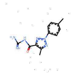 Cc1ccc(-n2nc(C)c(C(=O)NC(=N)N)n2)cc1